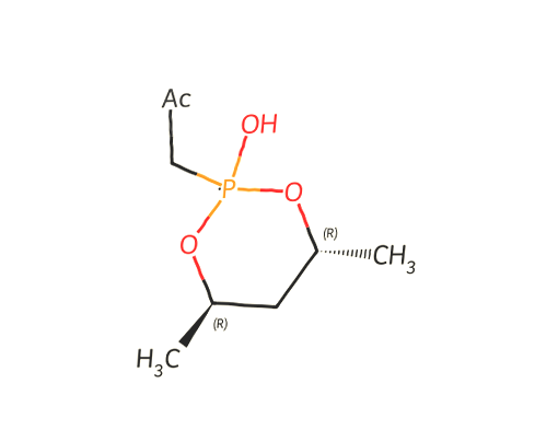 CC(=O)C[P]1(O)O[C@H](C)C[C@@H](C)O1